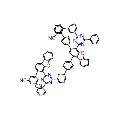 N#Cc1cc(C#N)cc(-c2ccc3c(oc4ccccc43)c2-c2nc(-c3ccccc3)nc(-c3cccc(-c4ccc(-c5cc(-c6ccc(-c7ccccc7C#N)cc6)c(-c6nc(-c7ccccc7)nc(-c7cccc(-c8ccccc8)c7)n6)c6oc7ccccc7c56)cc4)c3)n2)c1